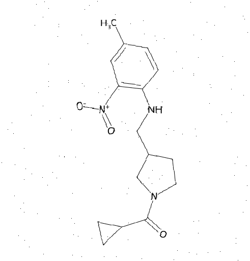 Cc1ccc(NCC2CCN(C(=O)C3CC3)C2)c([N+](=O)[O-])c1